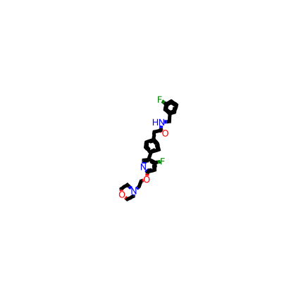 O=C(Cc1ccc(-c2cnc(OCCN3CCOCC3)cc2F)cc1)NCc1cccc(F)c1